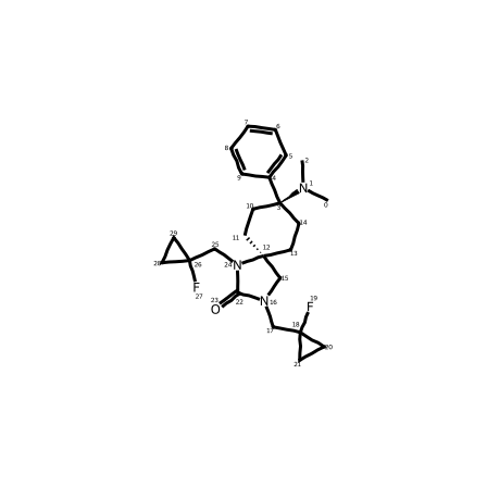 CN(C)[C@]1(c2ccccc2)CC[C@]2(CC1)CN(CC1(F)CC1)C(=O)N2CC1(F)CC1